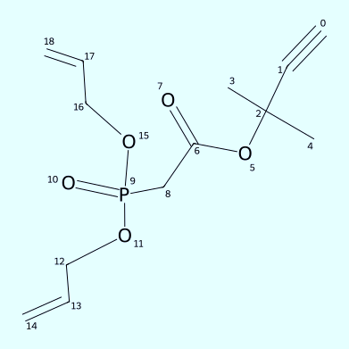 C#CC(C)(C)OC(=O)CP(=O)(OCC=C)OCC=C